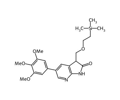 COc1cc(-c2cnc3c(c2)C(COCC[Si](C)(C)C)C(=O)N3)cc(OC)c1OC